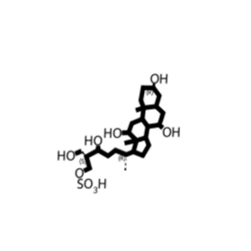 C[C@H](CCC(O)[C@@H](CO)COS(=O)(=O)O)C1CCC2C3C(O)CC4C[C@H](O)CCC4(C)C3CC(O)C21C